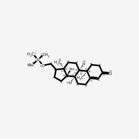 CC(C)(C)[Si](C)(C)OCC1CC[C@H]2[C@@H]3CCC4=CC(=O)CC[C@]4(C)[C@@H]3CC[C@]12C